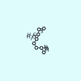 CC1(C)c2cc(-c3cccc(-c4cccc(-c5ccc6c(c5)c5ccccc5c5nccnc65)c4)c3)ccc2-c2ccc(-c3cccc4c3sc3ccccc34)cc21